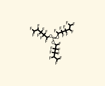 FC(F)C(F)C(F)(F)C(F)(F)C(F)OP(OC(F)C(F)(F)C(F)(F)C(F)C(F)F)OC(F)C(F)(F)C(F)(F)C(F)C(F)F